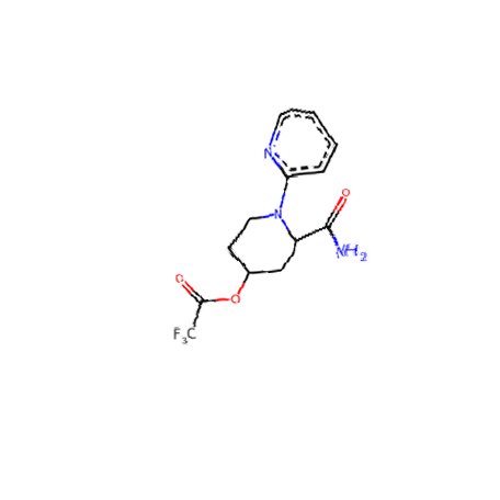 NC(=O)C1CC(OC(=O)C(F)(F)F)CCN1c1ccccn1